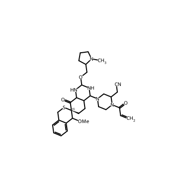 C=CC(=O)N1CCN(C2NC(OCC3CCCN3C)NC3C(=O)[C@@]4(CCC32)SCc2ccccc2C4OC)CC1CC#N